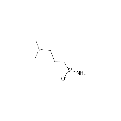 CN(C)CCC[S+](N)[O-]